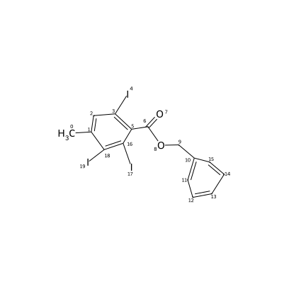 Cc1cc(I)c(C(=O)OCc2ccccc2)c(I)c1I